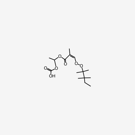 CCC(C)(C)C(C)(C)OOC=C(C)C(=O)OC(C)OC(=O)O